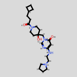 O=C(CCC1CCC1)N1CCC(O)(Cn2cnc(NCCN3CCCC3)cc2=O)CC1